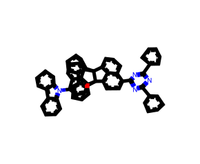 c1ccc(-c2nc(-c3ccccc3)nc(-c3ccc4c5c(cccc35)C35c6ccccc6-c6ccccc6C43c3ccc(-n4c6ccccc6c6ccccc64)c4cccc5c34)n2)cc1